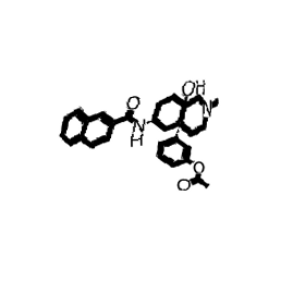 CC(=O)Oc1cccc([C@@]23CCN(C)C[C@@]2(O)CC[C@@H](NC(=O)c2ccc4ccccc4c2)C3)c1